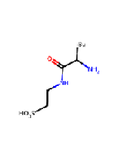 CCC(C)C(N)C(=O)NCCS(=O)(=O)O